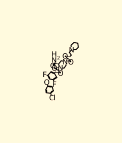 NC(=O)[C@H]1CN(S(=O)(=O)CCN2CCCCC2)CCN1S(=O)(=O)c1cc(F)c(Oc2ccc(Cl)cc2)c(F)c1